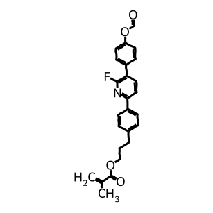 C=C(C)C(=O)OCCCc1ccc(-c2ccc(-c3ccc(OC=O)cc3)c(F)n2)cc1